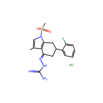 Cc1cn(S(C)(=O)=O)c2c1/C(=N/NC(=N)N)CC(c1ccccc1F)C2.Cl